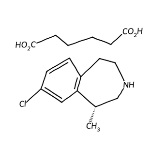 C[C@H]1CNCCc2ccc(Cl)cc21.O=C(O)CCCCC(=O)O